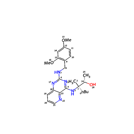 CCCC[C@@](C)(Nc1nc(NCc2ccc(OC)cc2OC)nc2cccnc12)[C@H](C)O